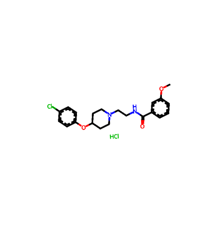 COc1cccc(C(=O)NCCN2CCC(Oc3ccc(Cl)cc3)CC2)c1.Cl